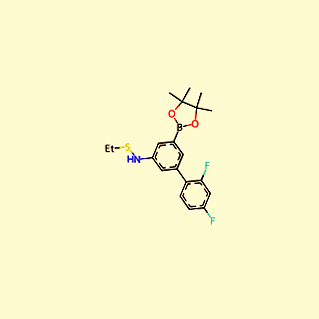 CCSNc1cc(B2OC(C)(C)C(C)(C)O2)cc(-c2ccc(F)cc2F)c1